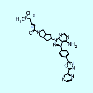 CN(C)C/C=C/C(=O)N1CC2CC(n3nc(-c4ccc(-c5nnc(-c6cnccn6)o5)cc4)c4c(N)ncnc43)CC2C1